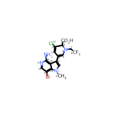 Cn1cc(C2=CN(CC(F)(F)F)C(C(=O)O)C(Cl)=C2)c2c(N)ncc(Br)c21